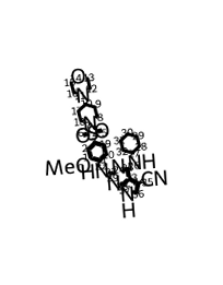 COc1cc(S(=O)(=O)N2CCC(N3CCOCC3)CC2)ccc1Nc1nc(NC2CCCCC2)c2c(C#N)c[nH]c2n1